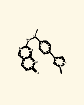 C[C@H](Nc1ncc2ccc(=O)[nH]c2n1)c1ccc(-c2cnn(C)c2)cc1